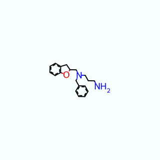 NCCCN(Cc1ccccc1)CC1Cc2ccccc2O1